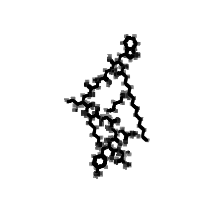 CCCCCCCCCCCCCC(=O)N[C@H](Cc1c[nH]c2ccccc12)C(=O)NCC(=O)NCC(=O)NC[C@@H](C(=O)N[C@H](CCCCN)C(=O)N[C@H](CCCCN)C(=O)N[C@H](CC(N)=O)C(=O)N[C@H](Cc1ccc(O)cc1)C(=O)N[C@H](C)C(=O)O)[C@H](C)CC